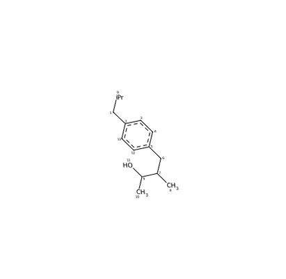 CC(C)Cc1ccc(CC(C)C(C)O)cc1